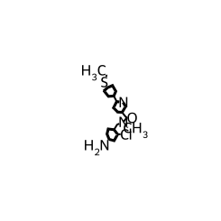 CCSc1ccc(-c2ccc(C(=O)N(C)Cc3ccc(N)cc3Cl)cn2)cc1